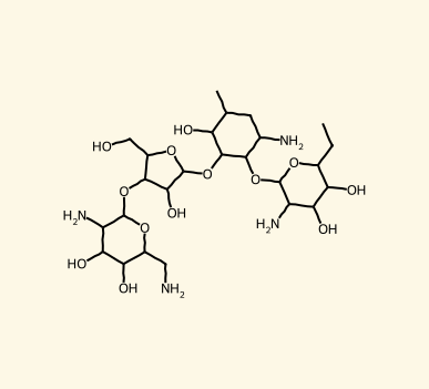 CCC1OC(OC2C(N)CC(C)C(O)C2OC2OC(CO)C(OC3OC(CN)C(O)C(O)C3N)C2O)C(N)C(O)C1O